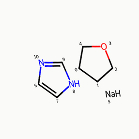 C1CCOC1.[NaH].c1c[nH]cn1